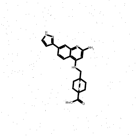 COC(=O)C12CCC(CNc3cc(N)nc4cc(-c5cc[nH]n5)ccc34)(CC1)CC2